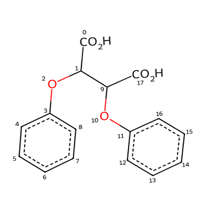 O=C(O)C(Oc1ccccc1)C(Oc1ccccc1)C(=O)O